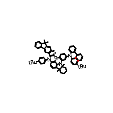 CC(C)(C)c1ccc(N(c2ccc3c(c2)N2c4c(ccc5c4B3c3sc4cc6c(cc4c3N5c3ccc(C(C)(C)C)cc3)-c3ccccc3C6(C)C)C3(C)CCCCC23C)c2ccccc2-c2ccccc2)cc1